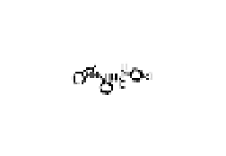 CC(CC1CCCCC1)NCc1ccccc1NC(=O)Nc1ccc(Cl)cc1